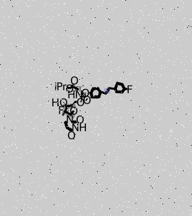 CC(C)OC(=O)[C@H](C)NP(=O)(OC[C@H]1O[C@@H](n2ccc(=O)[nH]c2=O)[C@](C)(F)[C@@H]1O)Oc1ccc(/C=C/c2ccc(F)cc2)cc1